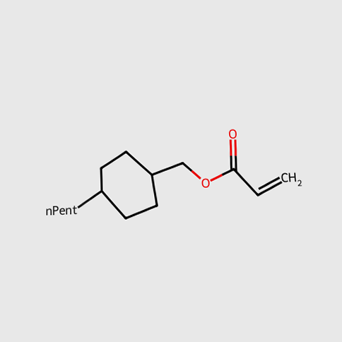 C=CC(=O)OCC1CCC(CCCCC)CC1